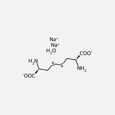 N[C@@H](CSSC[C@H](N)C(=O)[O-])C(=O)[O-].O.[Na+].[Na+]